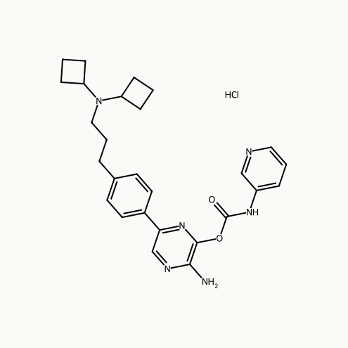 Cl.Nc1ncc(-c2ccc(CCCN(C3CCC3)C3CCC3)cc2)nc1OC(=O)Nc1cccnc1